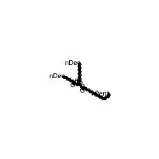 CCCCC/C=C\C/C=C\CCCCCCCCCCCC(=O)OC[C@@H](COC(=O)CCCCCCCCCCCCCCCC)OC(=O)CCCCCCCCCCCCCCCCCCC